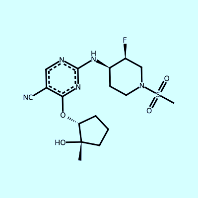 C[C@]1(O)CCC[C@H]1Oc1nc(N[C@@H]2CCN(S(C)(=O)=O)C[C@@H]2F)ncc1C#N